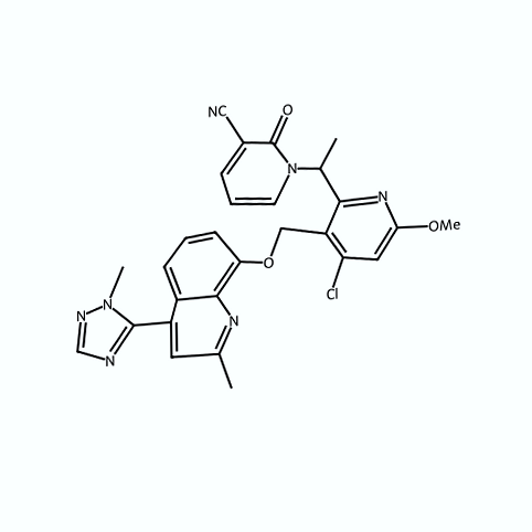 COc1cc(Cl)c(COc2cccc3c(-c4ncnn4C)cc(C)nc23)c(C(C)n2cccc(C#N)c2=O)n1